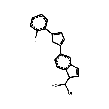 Oc1ccccc1C1=CC=C(c2ccc3c(c2)C=CC3C(O)O)C1